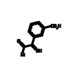 CCC(=O)C(=N)c1cccc(C(=O)O)c1